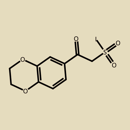 O=C(CS(=O)(=O)I)c1ccc2c(c1)OCCO2